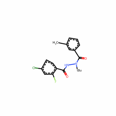 Cc1cccc(C(=O)N(NC(=O)c2ccc(Cl)cc2F)C(C)(C)C)c1